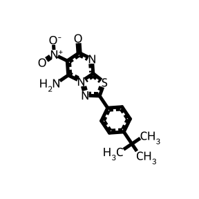 CC(C)(C)c1ccc(-c2nn3c(N)c([N+](=O)[O-])c(=O)nc3s2)cc1